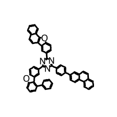 c1ccc(-c2cccc3oc4ccc(-c5nc(-c6ccc(-c7ccc8c(ccc9ccccc98)c7)cc6)nc(-c6ccc7oc8c9ccccc9ccc8c7c6)n5)cc4c23)cc1